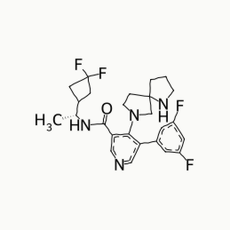 C[C@@H](NC(=O)c1cncc(-c2cc(F)cc(F)c2)c1N1CCC2(CCCN2)C1)C1CC(F)(F)C1